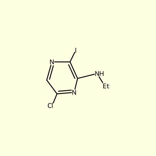 CCNc1nc(Cl)cnc1I